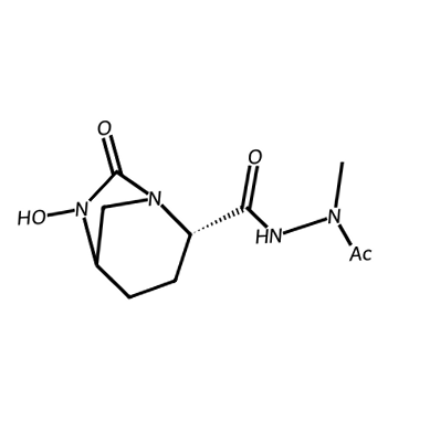 CC(=O)N(C)NC(=O)[C@@H]1CCC2CN1C(=O)N2O